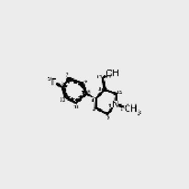 CN1CC[C@@H](c2ccc(F)cc2)C(CO)C1